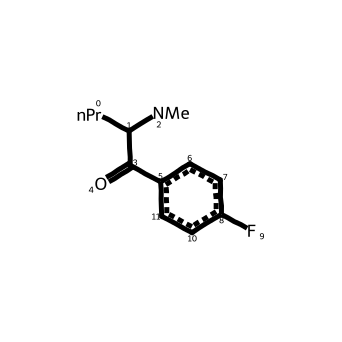 CCCC(NC)C(=O)c1ccc(F)cc1